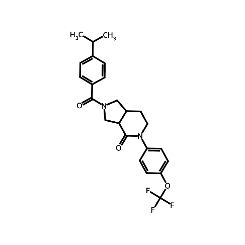 CC(C)c1ccc(C(=O)N2CC3CCN(c4ccc(OC(F)(F)F)cc4)C(=O)C3C2)cc1